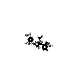 COc1cc([S+](C)[O-])ccc1Nc1nc(N)c2c(-c3ccc(F)c4[nH]ncc34)nn(C(C)C)c2n1